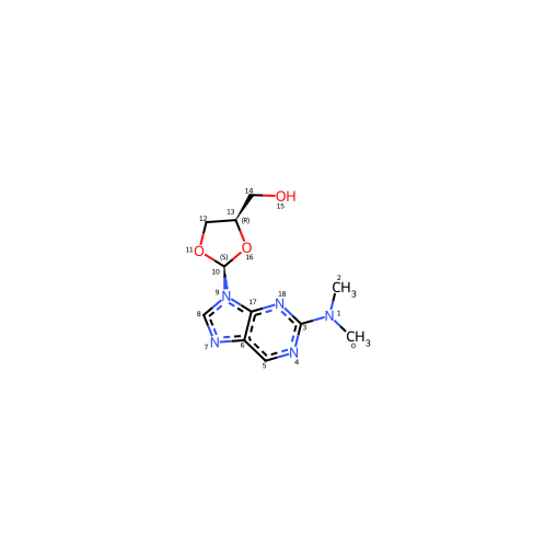 CN(C)c1ncc2ncn([C@H]3OC[C@@H](CO)O3)c2n1